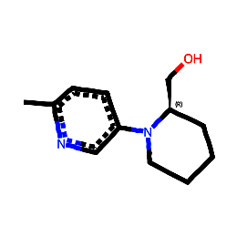 Cc1ccc(N2CCCC[C@@H]2CO)cn1